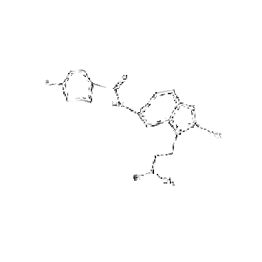 CCc1sc2ccc(NC(=O)c3ccc(F)cc3)cc2c1CCN(C)C(C)C